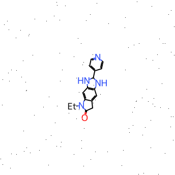 CCN1C(=O)Cc2cc3c(cc21)NC(c1ccncc1)N3